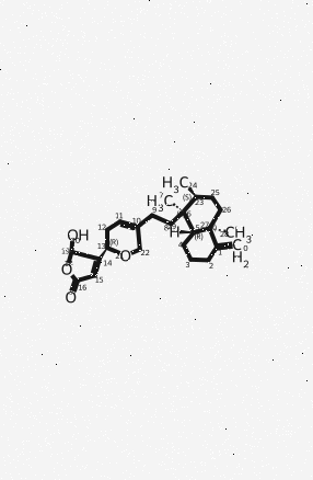 C=C1CCC[C@@H]2[C@@](C)(CCC3=CC[C@H](C4=CC(=O)OC4O)OC3)[C@@H](C)CC[C@@]12C